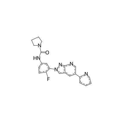 O=C(Nc1ccc(F)c(-n2cc3cc(-c4ccccn4)cnc3n2)c1)N1CCCC1